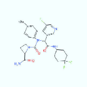 CC(C)(C)c1ccc(N(C(=O)N2CCC2C(N)=O)C(C(=O)NC2CCC(F)(F)CC2)c2cncc(F)c2)cc1